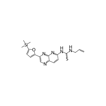 C=CCNC(=S)Nc1ccc2ncc(-c3ccc([Si](C)(C)C)o3)nc2n1